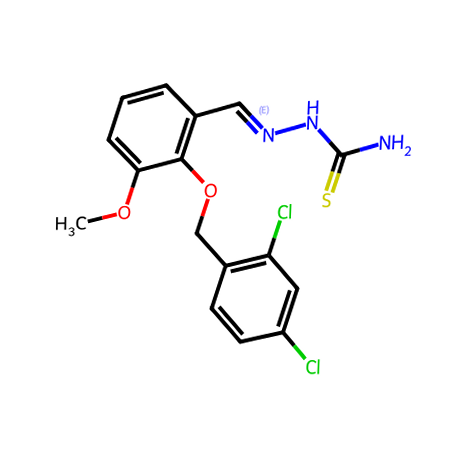 COc1cccc(/C=N/NC(N)=S)c1OCc1ccc(Cl)cc1Cl